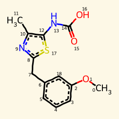 COc1cccc(Cc2nc(C)c(NC(=O)O)s2)c1